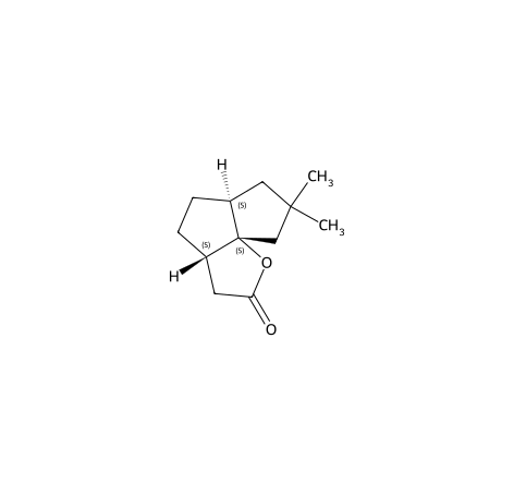 CC1(C)C[C@@H]2CC[C@H]3CC(=O)O[C@]32C1